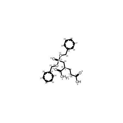 O=C(O)[C@H](C[C@@H](F)C(=O)O)CP(=O)(OCc1ccccc1)OCc1ccccc1